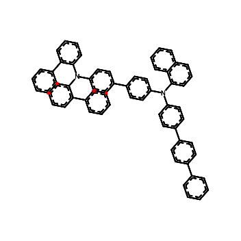 c1ccc(-c2ccc(-c3ccc(N(c4ccc(-c5ccc(N(c6ccccc6-c6ccccc6)c6ccccc6-c6ccccc6)cc5)cc4)c4cccc5ccccc45)cc3)cc2)cc1